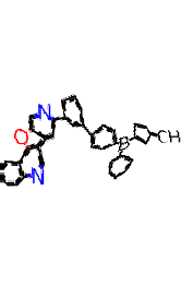 C=C1C=CC(B(c2ccccc2)c2ccc(-c3cccc(-c4cc5c(cn4)oc4c6ccccc6ncc54)c3)cc2)=C1